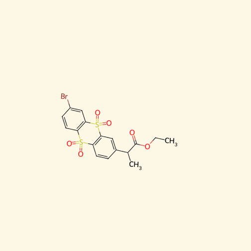 CCOC(=O)C(C)c1ccc2c(c1)S(=O)(=O)c1cc(Br)ccc1S2(=O)=O